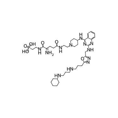 N[C@@H](CCC(=O)NCCN1CCC(Nc2nc(NCc3nnc(CCCNCCCNC4CCCCC4)o3)nc3ccccc23)CC1)C(=O)NCCP(=O)(O)O